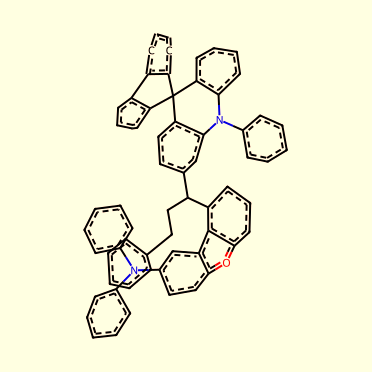 c1ccc(CCC(c2ccc3c(c2)N(c2ccccc2)c2ccccc2C32c3ccccc3-c3ccccc32)c2cccc3oc4ccc(N(c5ccccc5)c5ccccc5)cc4c23)cc1